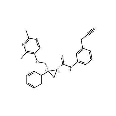 Cc1ncc(OC[C@@]2(C3C=CC=CC3)C[C@H]2C(=O)Nc2cccc(CC#N)c2)c(C)n1